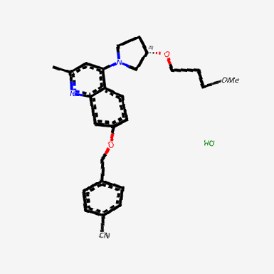 COCCCO[C@H]1CCN(c2cc(C)nc3cc(OCc4ccc(C#N)cc4)ccc23)C1.Cl